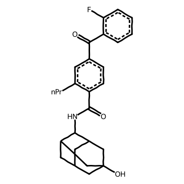 CCCc1cc(C(=O)c2ccccc2F)ccc1C(=O)NC1C2CC3CC1CC(O)(C3)C2